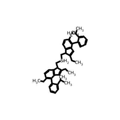 CCC1=Cc2c(ccc(CC)c2-c2ccccc2C(C)C)C1C[SiH2]CC1C(CC)=Cc2c1ccc(CC)c2-c1ccccc1C(C)C